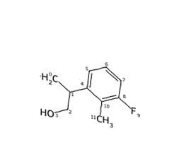 [CH2]C(CO)c1cccc(F)c1C